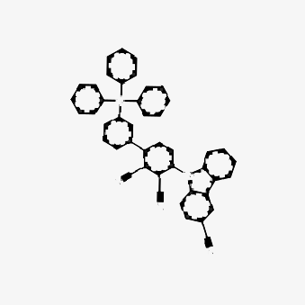 N#Cc1ccc2c(c1)c1ccccc1n2-c1ccc(-c2cccc([Si](c3ccccc3)(c3ccccc3)c3ccccc3)c2)c(C#N)c1C#N